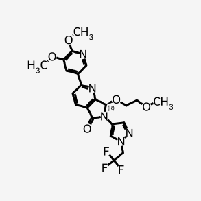 COCCO[C@@H]1c2nc(-c3cnc(OC)c(OC)c3)ccc2C(=O)N1c1cnn(CC(F)(F)F)c1